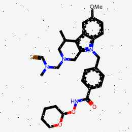 COc1ccc2c(c1)c1c(n2Cc2ccc(C(=O)NOC3CCCCO3)cc2)CN(CN(C)C=S)CC1C